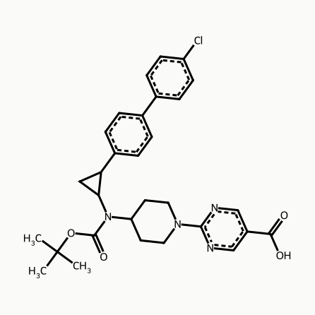 CC(C)(C)OC(=O)N(C1CCN(c2ncc(C(=O)O)cn2)CC1)C1CC1c1ccc(-c2ccc(Cl)cc2)cc1